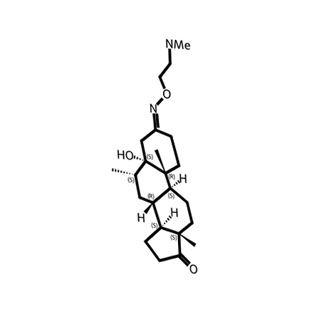 CNCCON=C1CC[C@]2(C)[C@H]3CC[C@]4(C)C(=O)CC[C@H]4[C@@H]3C[C@H](C)[C@@]2(O)C1